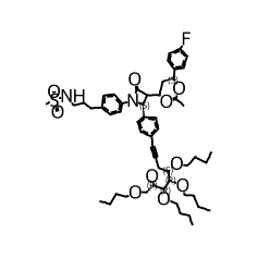 CCCCOC[C@H]1OC(C#Cc2ccc([C@@H]3C(CC[C@H](OC(C)=O)c4ccc(F)cc4)C(=O)N3c3ccc(CCCNS(C)(=O)=O)cc3)cc2)[C@H](OCCCC)[C@@H](OCCCC)[C@@H]1OCCCC